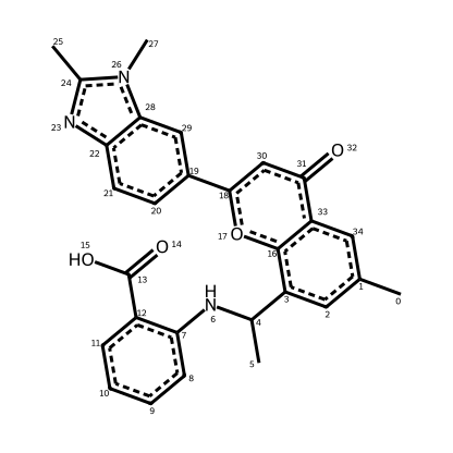 Cc1cc(C(C)Nc2ccccc2C(=O)O)c2oc(-c3ccc4nc(C)n(C)c4c3)cc(=O)c2c1